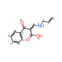 C=CCNC=C(C(=O)O)C(=O)c1ccccc1